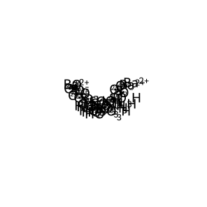 O=S(=O)(O)O.O=S(=O)(O)O.O=S(=O)(O)O.O=S(=O)(O)O.O=S(=O)(O)O.O=S(=O)(O)O.O=S(=O)(O)O.O=S(=O)([O-])[O-].O=S(=O)([O-])[O-].O=S(=O)([O-])[O-].[Ba+2].[Ba+2].[Ba+2]